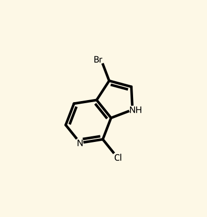 Clc1nccc2c(Br)c[nH]c12